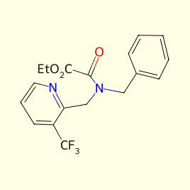 CCOC(=O)C(=O)N(Cc1ccccc1)Cc1ncccc1C(F)(F)F